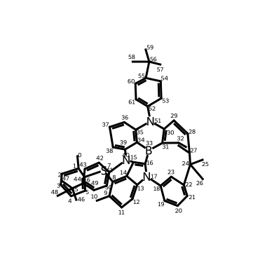 Cc1ccccc1Sc1c(C)ccc2c1c1c3n2-c2cccc(c2)C(C)(C)c2ccc4c(c2)B3c2c(cccc2N1c1ccc(C(C)(C)C)cc1)N4c1ccc(C(C)(C)C)cc1